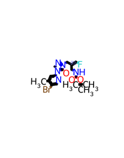 Cc1cc(-n2cnn(C/C(=C/F)CNC(=O)OC(C)(C)C)c2=O)ncc1Br